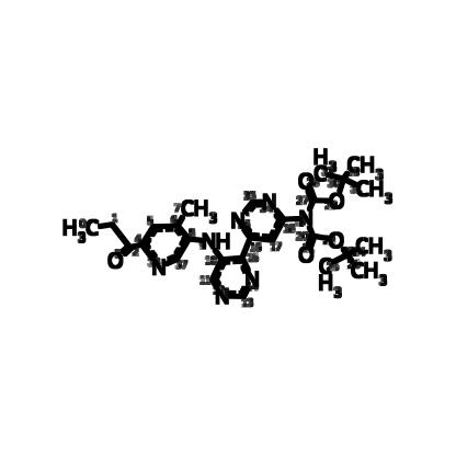 CCC(=O)c1cc(C)c(Nc2cncnc2-c2cc(N(C(=O)OC(C)(C)C)C(=O)OC(C)(C)C)ncn2)cn1